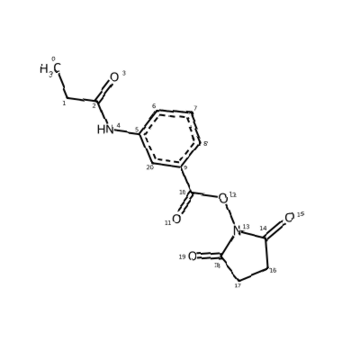 CCC(=O)Nc1cccc(C(=O)ON2C(=O)CCC2=O)c1